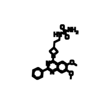 COc1cc2nc(-c3ccccc3)nc(N3CC(CCNS(N)(=O)=O)C3)c2cc1OC